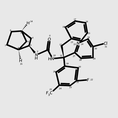 O=C(N[C@@H]1C[C@@H]2CC[C@H]1C2)N[C@@](Cc1ccccc1)(c1cc(F)cc(C(F)(F)F)c1)c1ccc(Cl)cn1